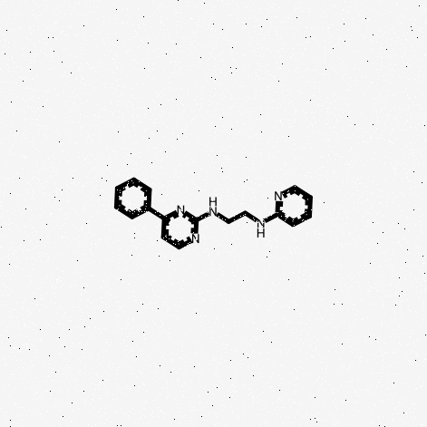 c1ccc(-c2ccnc(NCCNc3ccccn3)n2)cc1